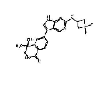 CC1(C)CNC(=O)c2ccc(-c3c[nH]c4nc(NC5CC(F)(F)C5)ncc34)cc21